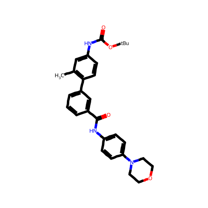 Cc1cc(NC(=O)OC(C)(C)C)ccc1-c1cccc(C(=O)Nc2ccc(N3CCOCC3)cc2)c1